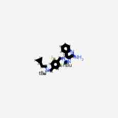 CCCCc1nc2c(N)nc3ccccc3c2n1Cc1c(F)cc(CN(CCC2CC2)C(C)(C)C)cc1F